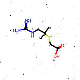 CC(C)(CNC(=N)N)SCC(=O)O